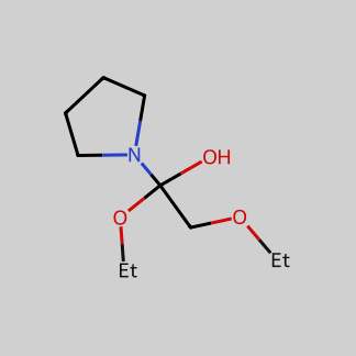 CCOCC(O)(OCC)N1CCCC1